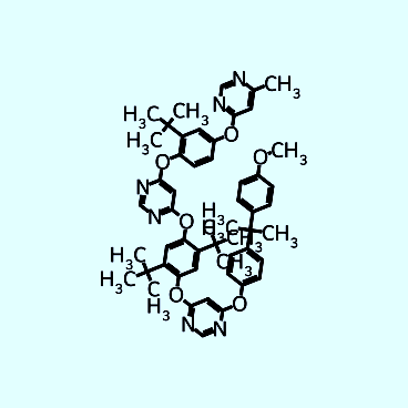 COc1ccc(C(C)(C)c2ccc(Oc3cc(Oc4cc(C(C)(C)C)c(Oc5cc(Oc6ccc(Oc7cc(C)ncn7)cc6C(C)(C)C)ncn5)cc4C(C)(C)C)ncn3)cc2)cc1